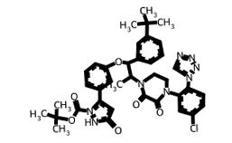 CC(C(Oc1cccc(-c2cc(=O)[nH]n2C(=O)OC(C)(C)C)c1)c1cccc(C(C)(C)C)c1)N1CCN(c2cc(Cl)ccc2-n2cnnn2)C(=O)C1=O